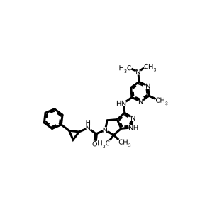 Cc1nc(Nc2n[nH]c3c2CN(C(=O)NC2CC2c2ccccc2)C3(C)C)cc(N(C)C)n1